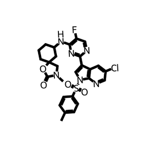 Cc1ccc(S(=O)(=O)n2cc(-c3ncc(F)c(NC4CCCC5(C4)CN(C)C(=O)O5)n3)c3cc(Cl)cnc32)cc1